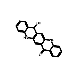 O=c1c2ccccc2[nH]c2cc3c(cc12)Nc1ccccc1C3O